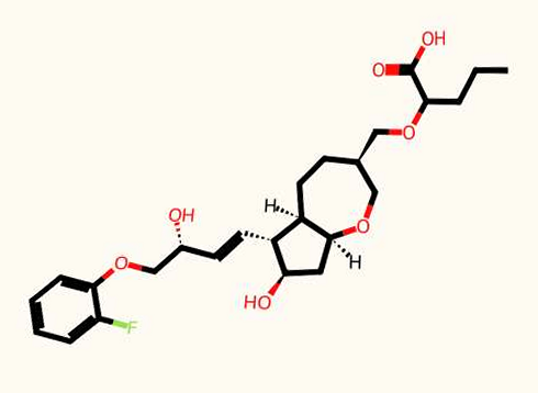 CCCC(OC[C@@H]1CC[C@@H]2[C@@H](/C=C/[C@@H](O)COc3ccccc3F)[C@H](O)C[C@@H]2OC1)C(=O)O